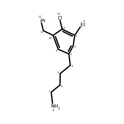 CCc1cc(CCCCN)cc(CC(C)C)c1Cl